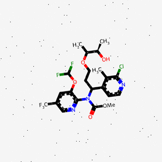 COC(=O)N(c1ncc(C(F)(F)F)cc1OC(F)F)C(CCOC(C)[C@@H](C)O)c1ccnc(Cl)c1C